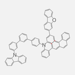 c1cc(-c2ccc(N(c3cccc(-c4ccc5c(c4)oc4ccccc45)c3)c3ccccc3-c3ccc4c(ccc5ccccc54)c3)cc2)cc(-c2cccc(-n3c4ccccc4c4ccccc43)c2)c1